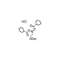 CCCCCCCCCCCCN(OC(=O)c1ccccc1)OC(=O)c1ccccc1.Cl